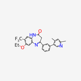 CCOc1cc2c(cc1C(F)(F)F)NC(=O)CC(c1cccc(-c3cnc(C)cc3C)c1)=N2